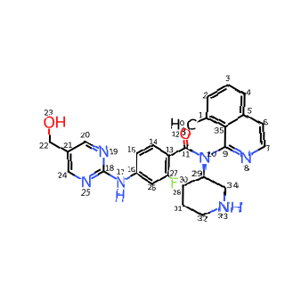 Cc1cccc2ccnc(N(C(=O)c3ccc(Nc4ncc(CO)cn4)cc3F)[C@@H]3CCCNC3)c12